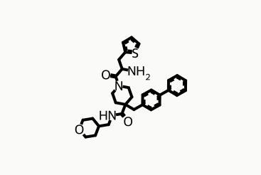 NC(Cc1cccs1)C(=O)N1CCC(Cc2ccc(-c3ccccc3)cc2)(C(=O)NCC2CCOCC2)CC1